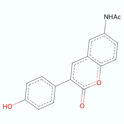 CC(=O)Nc1ccc2oc(=O)c(-c3ccc(O)cc3)cc2c1